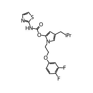 CC(C)Cc1cc(OC(=O)Nc2nccs2)n(CCOc2ccc(F)c(F)c2)c1